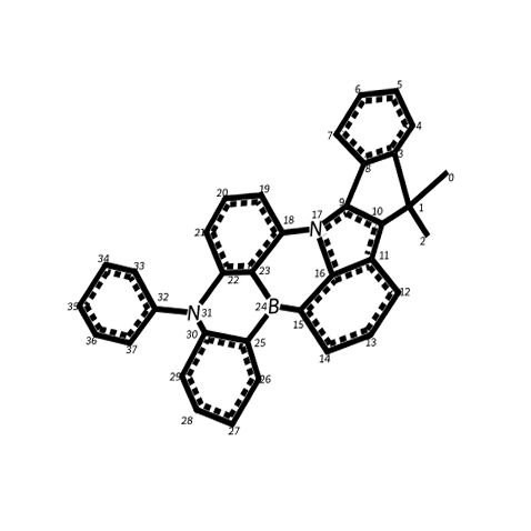 CC1(C)c2ccccc2-c2c1c1cccc3c1n2-c1cccc2c1B3c1ccccc1N2c1ccccc1